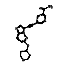 NC(=O)c1cncc(C#Cc2cnc3ccc(OC4CCOCC4)nn23)c1